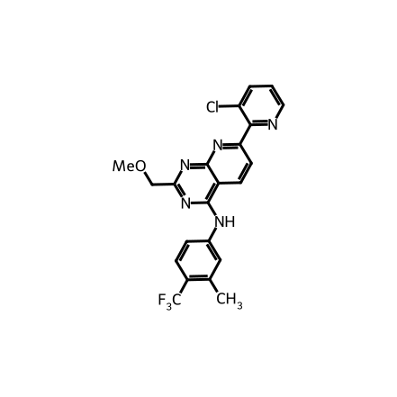 COCc1nc(Nc2ccc(C(F)(F)F)c(C)c2)c2ccc(-c3ncccc3Cl)nc2n1